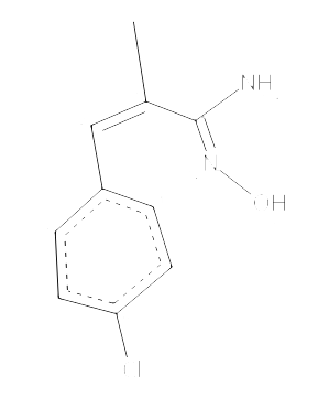 CC(=Cc1ccc(Cl)cc1)C(N)=NO